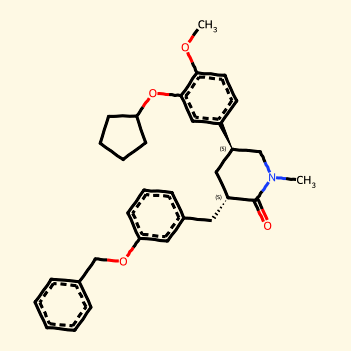 COc1ccc([C@@H]2C[C@@H](Cc3cccc(OCc4ccccc4)c3)C(=O)N(C)C2)cc1OC1CCCC1